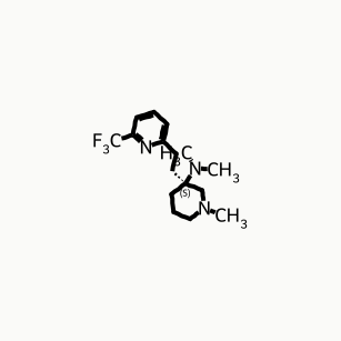 CN1CCC[C@@](CCc2cccc(C(F)(F)F)n2)(N(C)C)C1